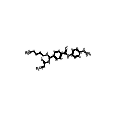 C=CC(=O)OC(OCCCCC)c1ccc(C(=O)Oc2ccc(OC)cc2)cc1